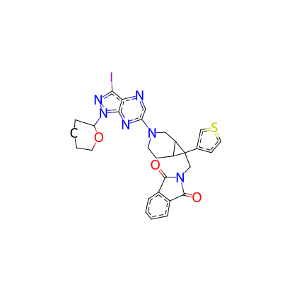 O=C1c2ccccc2C(=O)N1CC1(c2ccsc2)C2CCN(c3cnc4c(I)nn(C5CCCCO5)c4n3)CC21